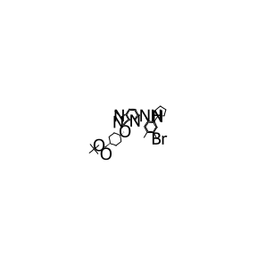 Cc1cc(Nc2ccc3c(n2)c(O[C@H]2CC[C@H](C(=O)OC(C)(C)C)CC2)nn3C)c(N2CCCC2)cc1Br